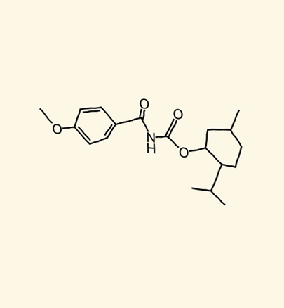 COc1ccc(C(=O)NC(=O)OC2CC(C)CCC2C(C)C)cc1